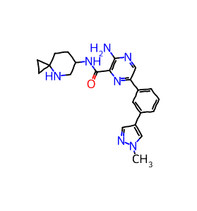 Cn1cc(-c2cccc(-c3cnc(N)c(C(=O)NC4CCC5(CC5)NC4)n3)c2)cn1